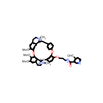 COc1cc2c3cc1Oc1c(OC)c(OC)cc4c1[C@@H](Cc1ccc(OCCCNC(=O)c5cnccc5C=O)c(c1)Oc1ccc(cc1)C[C@@H]3N(C)CC2)N(C)CC4